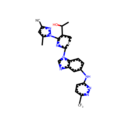 Cc1cc(C#N)nn1-c1nc(-n2cnc3cc(Nc4ccc(C(F)(F)F)nn4)ccc32)ccc1C(C)O